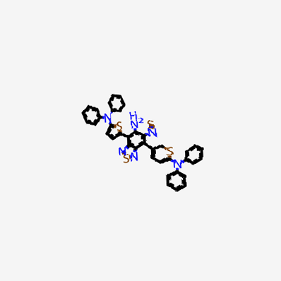 Nc1c(N=S)c(C2=CC=C(N(c3ccccc3)c3ccccc3)SC2)c2nsnc2c1-c1ccc(N(c2ccccc2)c2ccccc2)s1